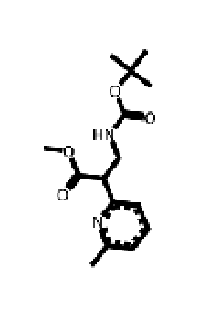 COC(=O)C(CNC(=O)OC(C)(C)C)c1cccc(C)n1